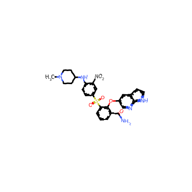 CN1CCC(Nc2ccc(S(=O)(=O)c3cccc(C(N)=O)c3Oc3cnc4[nH]ccc4c3)cc2[N+](=O)[O-])CC1